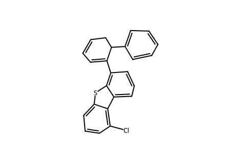 Clc1cccc2sc3c(C4=CC=CCC4c4ccccc4)cccc3c12